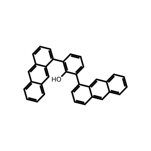 Oc1c(-c2cccc3cc4ccccc4cc23)cccc1-c1cccc2cc3ccccc3cc12